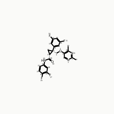 Cc1ncc(OC[C@@]2(c3cc(F)cc(F)c3)C[C@H]2C(=O)Nc2ccc(F)c(F)c2)c(C)n1